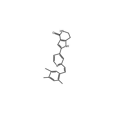 Cc1cc(C)c(/C=C\c2cc(-c3cc4c([nH]3)CCNC4=O)ccn2)cc1C